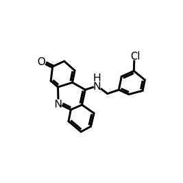 O=C1C=c2nc3ccccc3c(NCc3cccc(Cl)c3)c2=CC1